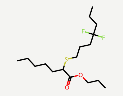 CCCCCC(SCCCC(F)(F)CCC)C(=O)OCCC